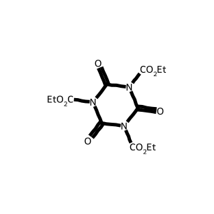 CCOC(=O)n1c(=O)n(C(=O)OCC)c(=O)n(C(=O)OCC)c1=O